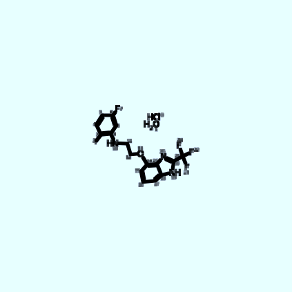 Cl.O.[CH2]c1ccc(F)cc1NCCOc1cccc2[nH]c(C(F)(F)F)nc12